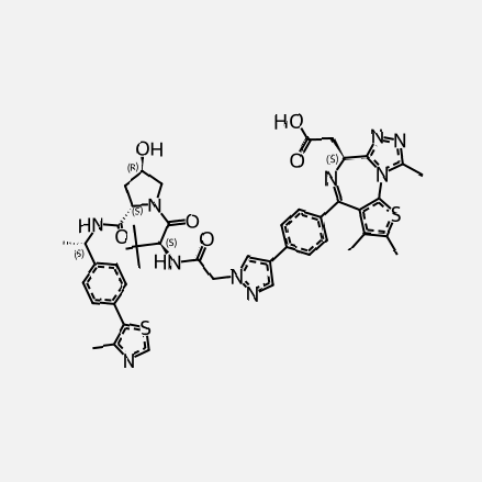 Cc1ncsc1-c1ccc([C@H](C)NC(=O)[C@@H]2C[C@@H](O)CN2C(=O)[C@@H](NC(=O)Cn2cc(-c3ccc(C4=N[C@@H](CC(=O)O)c5nnc(C)n5-c5sc(C)c(C)c54)cc3)cn2)C(C)(C)C)cc1